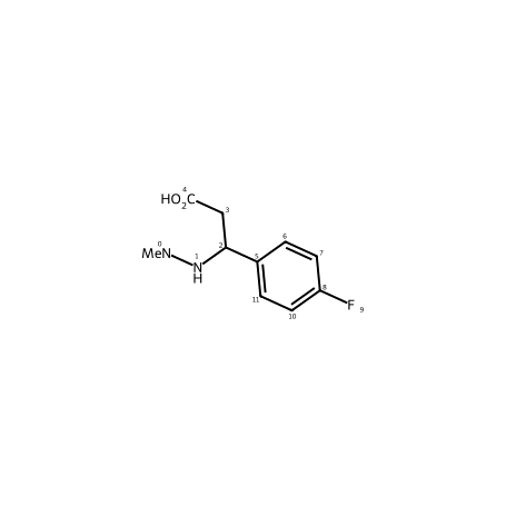 CNNC(CC(=O)O)c1ccc(F)cc1